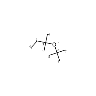 [CH2]CC(C)(C)OC(C)(C)C